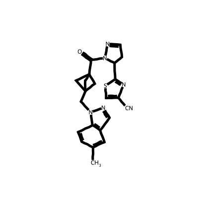 Cc1ccc2c(cnn2CC23CC(C(=O)N4N=CCC4c4nc(C#N)cs4)(C2)C3)c1